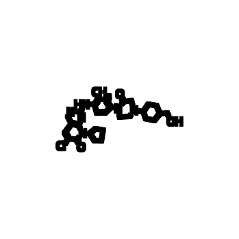 Cc1cc(N2CCN(C3CCC(CO)CC3)CC2=O)ccc1Nc1ncc2cc(Cl)c(=O)n(C3CCCC3)c2n1